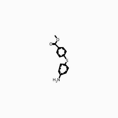 COC(=O)c1ccc(Sc2ccc(N)cc2)cc1